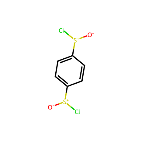 [O-][S+](Cl)c1ccc([S+]([O-])Cl)cc1